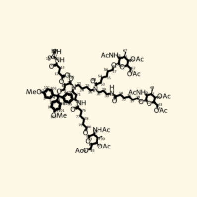 COc1ccc(C(OCC(OC(=O)CCC(=O)N[SH](=P)=S)C(=O)N(CCCCN(CCCNC(=O)CCCCCO[C@@H]2OC(COC(C)=O)[C@H](OC(C)=O)[C@H](C)C2NC(C)=O)C(=O)CCCCCO[C@@H]2OC(COC(C)=O)[C@H](OC(C)=O)[C@H](C)C2NC(C)=O)CCCNC(=O)CCCCCO[C@@H]2OC(COC(C)=O)[C@H](OC(C)=O)[C@H](C)C2NC(C)=O)(c2ccccc2)c2ccc(OC)cc2)cc1